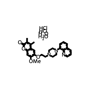 COc1cc2oc(=O)c(C)c(C)c2cc1OCCN1CCN(c2cccc3cccnc23)CC1.Cl.Cl.O.O